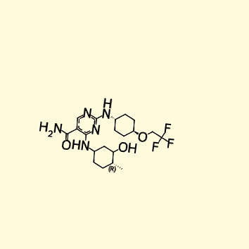 C[C@@H]1CCC(Nc2nc(N[C@H]3CC[C@H](OCC(F)(F)F)CC3)ncc2C(N)=O)CC1O